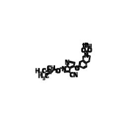 CC(C)(C)OC(=O)N1CCc2ccc(Oc3ccnc4c3c(C#N)cn4COCC[Si](C)(C)C)cc2C1